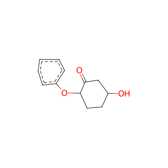 O=C1CC(O)CCC1Oc1ccccc1